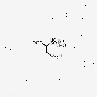 O=C(O)CC(C(=O)[O-])S(=O)(=O)O.O=CO.[Na+]